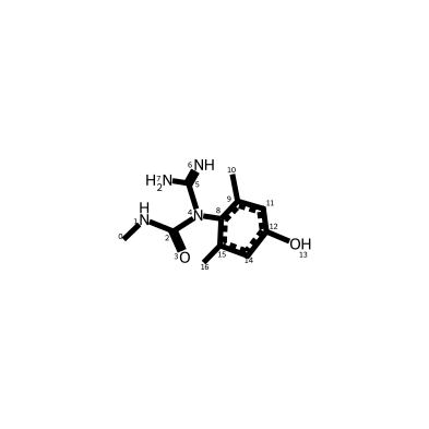 CNC(=O)N(C(=N)N)c1c(C)cc(O)cc1C